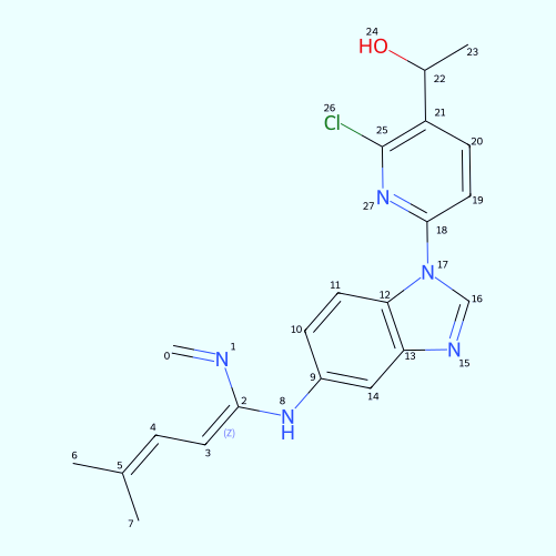 C=N/C(=C\C=C(C)C)Nc1ccc2c(c1)ncn2-c1ccc(C(C)O)c(Cl)n1